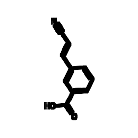 N#CC=Cc1cccc(C(=O)O)c1